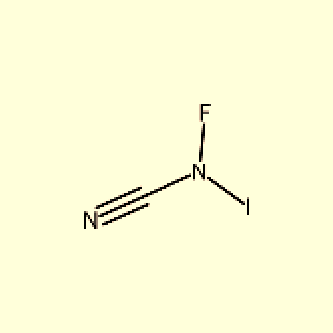 N#CN(F)I